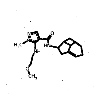 COCCNc1c(C(=O)NC2CC3=CCC4CC3C2C4)cnn1C